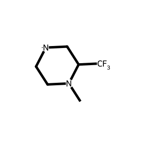 CN1CC[N]CC1C(F)(F)F